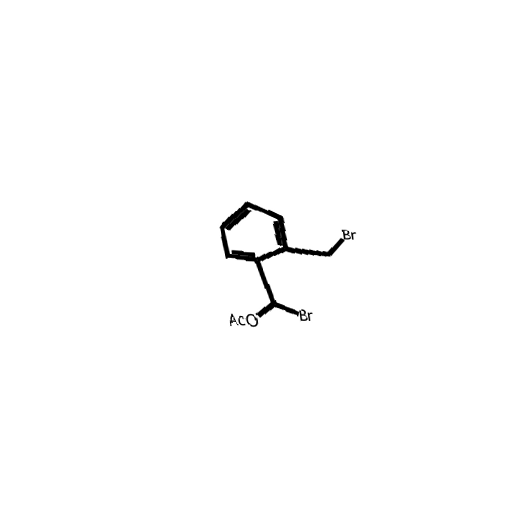 CC(=O)OC(Br)c1ccccc1CBr